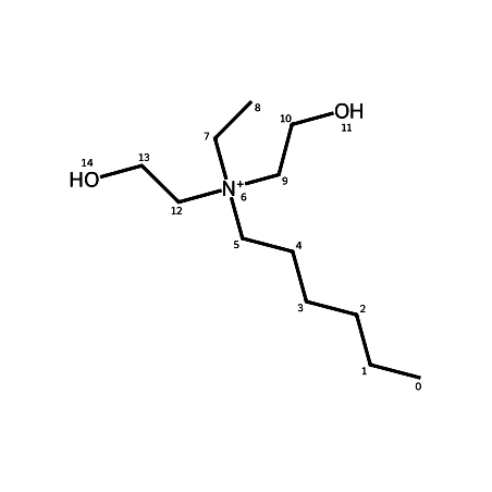 CCCCCC[N+](CC)(CCO)CCO